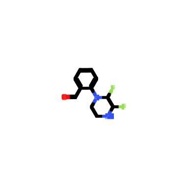 O=Cc1ccccc1N1CCNC(F)C1F